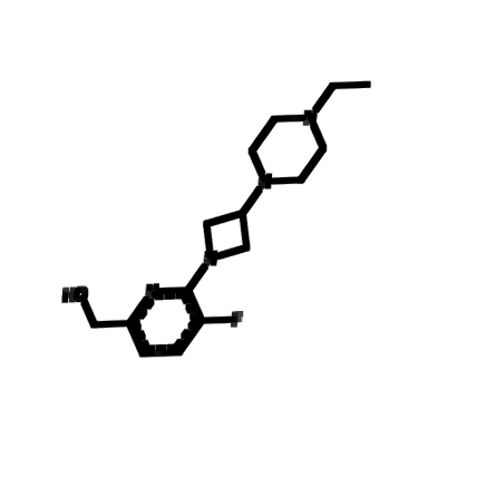 CCN1CCN(C2CN(c3nc(CO)ccc3F)C2)CC1